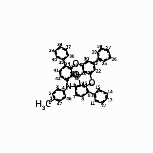 Cc1ccc(N2c3ccc(-c4ccccc4)c4c3P3(=O)c5c(cc(-c6ccccc6)cc5Oc5c(-c6ccccc6)ccc2c53)O4)cc1